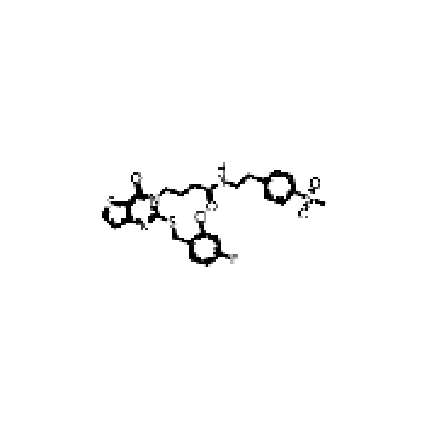 CS(=O)(=O)c1ccc(CCNC(=O)CCCn2c(SCc3ccc(F)cc3Cl)nc3ccsc3c2=O)cc1